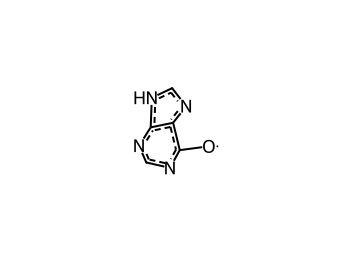 [O]c1ncnc2[nH]cnc12